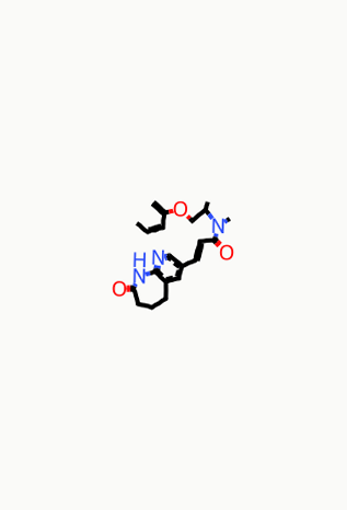 C=C(/C=C\C)OCC(C)N(C)C(=O)/C=C/c1cnc2c(c1)CCCC(=O)N2